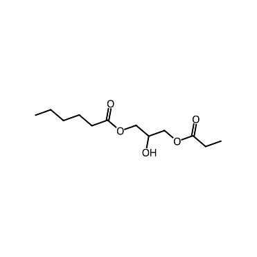 CCCCCC(=O)OCC(O)COC(=O)CC